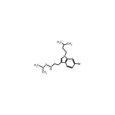 CC(C)CCn1cc(CCNSN(C)C)c2ccc(Br)cc21